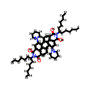 CCCCCCC(CCCCCC)N1C(=O)c2ccc3c4c(N5CCCCC5)cc5c6c(ccc(c7c(N8CCCCC8)cc(c2c37)C1=O)c64)C(=O)N(C(CCCCCC)CCCCCC)C5=O